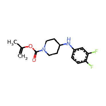 C=C(C)OC(=O)N1CCC(Nc2ccc(F)c(F)c2)CC1